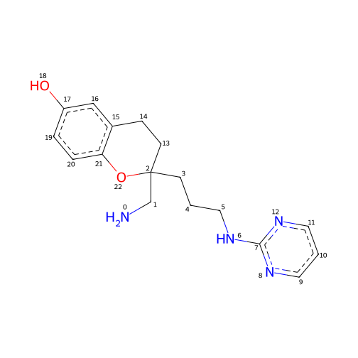 NCC1(CCCNc2ncccn2)CCc2cc(O)ccc2O1